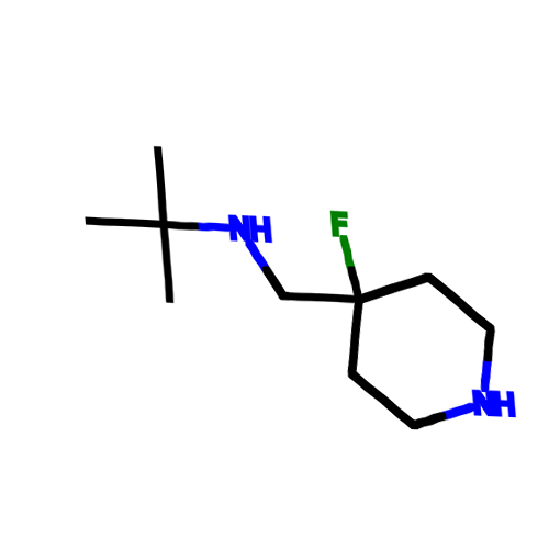 CC(C)(C)NCC1(F)CCNCC1